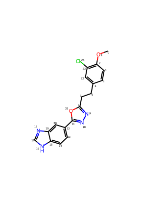 COc1ccc(CCc2nnc(-c3ccc4[nH]cnc4c3)o2)cc1Cl